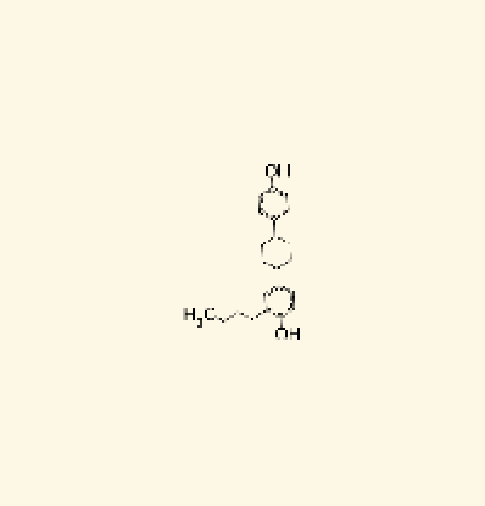 CCCCc1cc(C2CCC(c3ccc(O)cc3)CC2)ccc1O